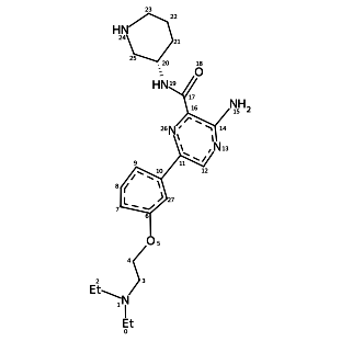 CCN(CC)CCOc1cccc(-c2cnc(N)c(C(=O)N[C@H]3CCCNC3)n2)c1